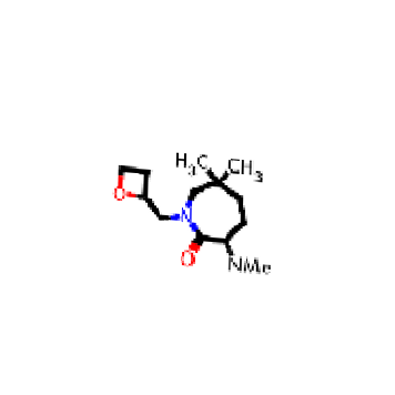 CNC1CCC(C)(C)CN(CC2CCO2)C1=O